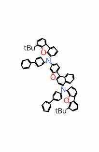 CC(C)(C)c1cccc2c1oc1c(N(c3ccc(-c4ccccc4)cc3)c3ccc4c(c3)oc3cc(N(c5ccc(-c6ccccc6)cc5)c5cccc6c5oc5c(C(C)(C)C)cccc56)c5ccccc5c34)cccc12